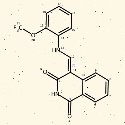 O=C1NC(=O)c2ccccc2/C1=C/Nc1ccccc1OC(F)(F)F